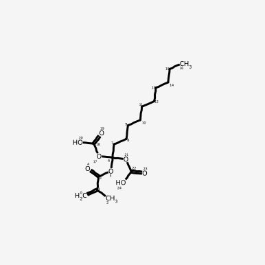 C=C(C)C(=O)OC(CCCCCCCCCC)(OC(=O)O)OC(=O)O